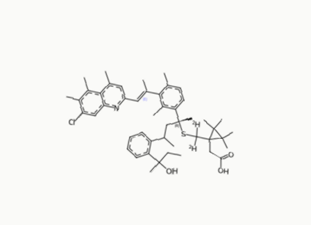 [2H]C([2H])(S[C@](C)(CC(C)c1ccccc1C(C)(O)CC)c1ccc(C)c(/C(C)=C/c2cc(C)c3c(C)c(C)c(Cl)cc3n2)c1C)C1(CC(=O)O)C(C)(C)C1(C)C